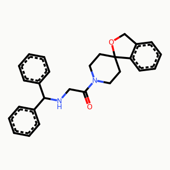 O=C(CNC(c1ccccc1)c1ccccc1)N1CCC2(CC1)OCc1ccccc12